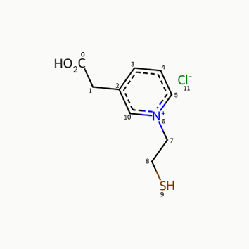 O=C(O)Cc1ccc[n+](CCS)c1.[Cl-]